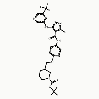 Cc1nsc(Nc2cncc(C(F)(F)F)n2)c1C(=O)Nc1ccc(OCC2CCCN(C(=O)OC(C)(C)C)C2)nc1